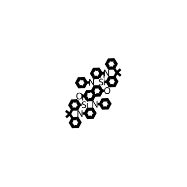 CC1(C)c2ccccc2N2c3cccc4c3[SiH]3c5c(ccc1c52)Oc1cc2c5c6c(cc2c(c13)N4c1ccccc1)Oc1ccc2c3c1[SiH]6c1c(cccc1N5c1ccccc1)N3c1ccccc1C2(C)C